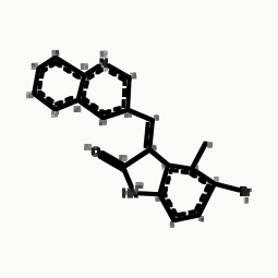 Cc1c(Br)ccc2c1C(=Cc1cnc3ccccc3c1)C(=O)N2